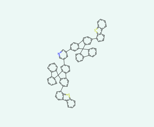 c1ccc2c(c1)-c1ccccc1C21c2cc(-c3cncc(-c4ccc5c(c4)C4(c6ccccc6-c6ccccc64)c4cc(-c6cccc7c6sc6ccccc67)ccc4-5)c3)ccc2-c2ccc(-c3cccc4c3sc3ccccc34)cc21